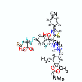 CNCC(=O)Oc1c(C)cc(C[n+]2cnn(C[C@](O)(c3ccc(F)cc3F)[C@@H](C)c3nc(-c4ccc(C#N)cc4)cs3)c2)cc1C.O=C(O)C(F)(F)F.[Br-]